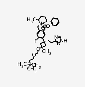 C[C@H]1CC[C@H](c2ccccc2)S(=O)(=O)N1Cc1cc(F)c([C@]2(CCc3nc[nH]n3)C[C@](C)(OCOCC[Si](C)(C)C)C2)cc1F